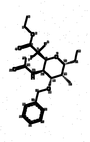 CCOC(=O)C(F)(F)[C@H]1O[C@H](CC)[C@H](C)[C@H](OCc2ccccc2)[C@H]1NC(C)=O